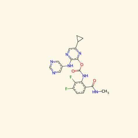 CNC(=O)c1ccc(F)c(F)c1NC(=O)Oc1nc(C2CC2)cnc1Nc1cncnc1